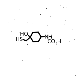 O=C(O)NC1CCC(O)(CS)CC1